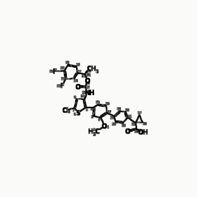 COc1cc(-c2sc(Cl)cc2NC(=O)O[C@H](C)c2ccc(F)c(F)c2)ccc1-c1ccc(C2(C(=O)O)CC2)cc1